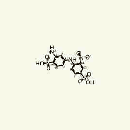 Nc1cc(Nc2ccc(S(=O)(=O)O)cc2[N+](=O)[O-])ccc1S(=O)(=O)O